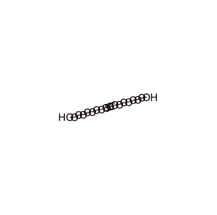 OCCOCCOCCOCCOCCOCCOCCOCCOSSOCCOCCOCCOCCOCCOCCOCCOCCO